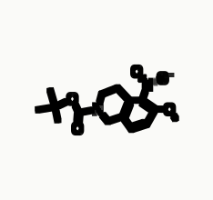 COc1ccc2c(c1[N+](=O)[O-])CCN(C(=O)OC(C)(C)C)C2